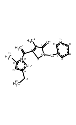 C=C(C1=C(C)C(=O)N(Cc2cccnc2)C1)n1nc(CC)cc1C